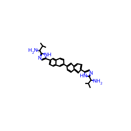 CC(C)C(N)c1ncc(-c2ccc3cc(-c4ccc5cc(-c6cnc([C@@H](N)C(C)C)[nH]6)ccc5c4)ccc3c2)[nH]1